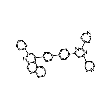 c1ccc(-c2cc(-c3ccc(-c4ccc(-c5cc(-c6ccncc6)nc(-c6ccncc6)n5)cc4)cc3)c3c(ccc4ccccc43)n2)cc1